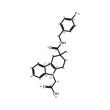 CC1(C(=O)NCc2ccc(F)cc2)CCc2c(c3ccccc3n2CC(=O)O)C1